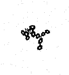 c1ccc(-c2ccc(N(c3ccc(-c4ccccc4)cc3)c3ccc(-c4ccc5c(c4)c4ccccc4c4nc6c7ccccc7c7ccccc7c6n54)cc3)cc2)cc1